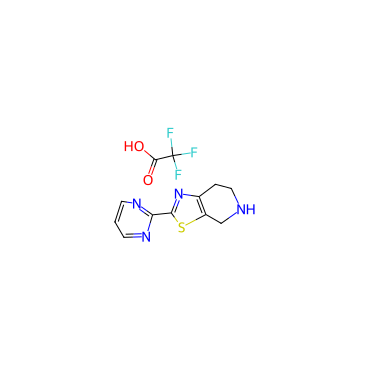 O=C(O)C(F)(F)F.c1cnc(-c2nc3c(s2)CNCC3)nc1